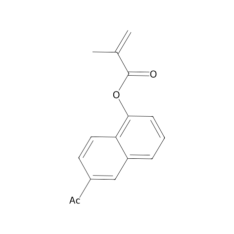 C=C(C)C(=O)Oc1cccc2cc(C(C)=O)ccc12